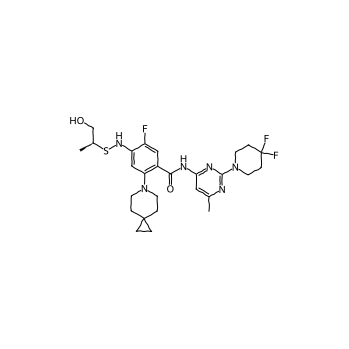 Cc1cc(NC(=O)c2cc(F)c(NS[C@@H](C)CO)cc2N2CCC3(CC2)CC3)nc(N2CCC(F)(F)CC2)n1